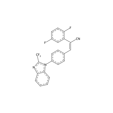 N#C/C(=C/c1ccc(-n2c(C(F)(F)F)nc3ccccc32)cc1)c1cc(F)ccc1F